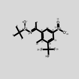 CC(=N[S@+]([O-])C(C)(C)C)c1cc([N+](=O)[O-])cc(C(F)(F)F)c1C